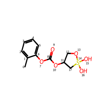 Cc1ccccc1OC(=O)OC1COS(O)(O)C1